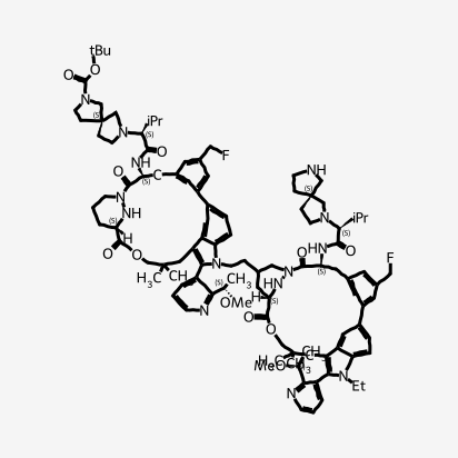 CCn1c(-c2cccnc2[C@H](C)OC)c2c3cc(ccc31)-c1cc(CF)cc(c1)C[C@H](NC(=O)[C@H](C(C)C)N1CC[C@]3(CCNC3)C1)C(=O)N1CC(CCn3c(-c4cccnc4[C@H](C)OC)c4c5cc(ccc53)-c3cc(CF)cc(c3)C[C@H](NC(=O)[C@H](C(C)C)N3CC[C@]5(CCN(C(=O)OC(C)(C)C)C5)C3)C(=O)N3CCC[C@H](N3)C(=O)OCC(C)(C)C4)C[C@H](N1)C(=O)OCC(C)(C)C2